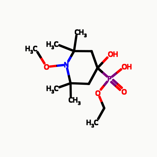 CCOP(=O)(O)C1(O)CC(C)(C)N(OC)C(C)(C)C1